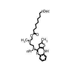 CCCCCCCCCCCCCCCCCC(=O)OCN(C)CCN(CCC)C1=Nc2ccccc2NC2=C1CC(C)S2